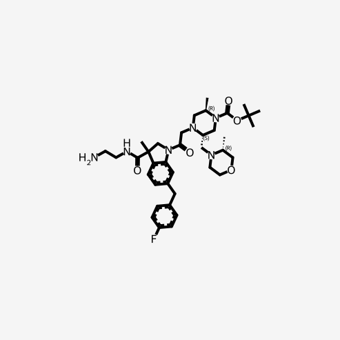 C[C@@H]1COCCN1C[C@H]1CN(C(=O)OC(C)(C)C)[C@H](C)CN1CC(=O)N1CC(C)(C(=O)NCCN)c2ccc(Cc3ccc(F)cc3)cc21